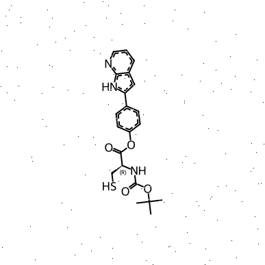 CC(C)(C)OC(=O)N[C@@H](CS)C(=O)Oc1ccc(-c2cc3cccnc3[nH]2)cc1